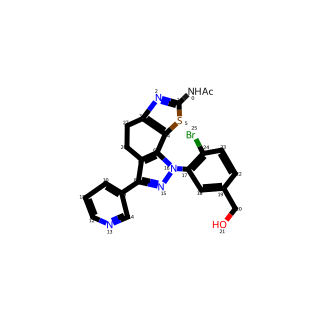 CC(=O)Nc1nc2c(s1)-c1c(c(-c3cccnc3)nn1-c1cc(CO)ccc1Br)CC2